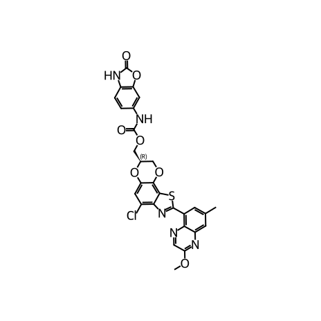 COc1cnc2c(-c3nc4c(Cl)cc5c(c4s3)OC[C@H](COC(=O)Nc3ccc4[nH]c(=O)oc4c3)O5)cc(C)cc2n1